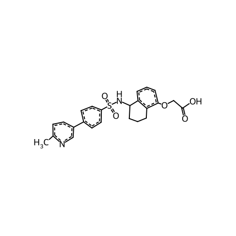 Cc1ccc(-c2ccc(S(=O)(=O)NC3CCCc4c(OCC(=O)O)cccc43)cc2)cn1